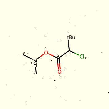 C[SiH](C)OC(=O)C(Cl)C(C)(C)C